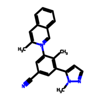 Cc1c(-c2ccnn2C)cc(C#N)cc1-[n+]1cc2ccccc2cc1C